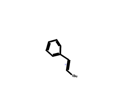 CC(C)(C)/C=C/c1c[c]ccc1